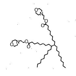 CCCCCCCCCC(CCCCCCCC(=O)OCCN1CCOCC1)C(CCCCCCCCC)CCCCCCCC(=O)OCCN1CCOCC1